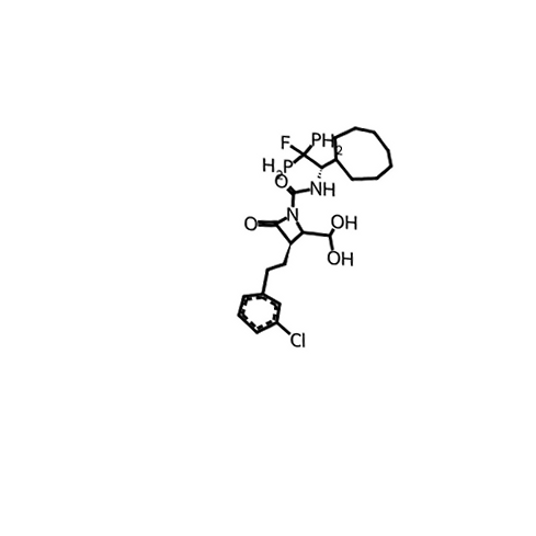 O=C(N[C@@H](C1CCCCCCC1)C(F)(P)P)N1C(=O)[C@H](CCc2cccc(Cl)c2)C1C(O)O